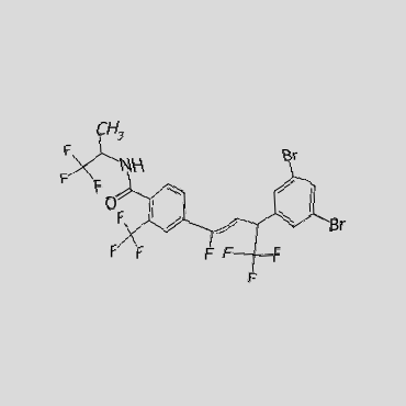 CC(NC(=O)c1ccc(/C(F)=C/C(c2cc(Br)cc(Br)c2)C(F)(F)F)cc1C(F)(F)F)C(F)(F)F